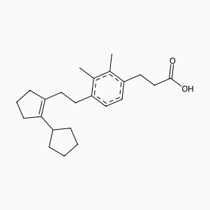 Cc1c(CCC(=O)O)ccc(CCC2=C(C3CCCC3)CCC2)c1C